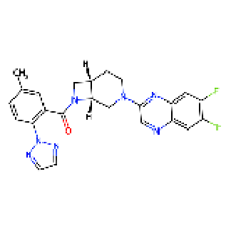 Cc1ccc(-n2nccn2)c(C(=O)N2C[C@@H]3CCN(c4cnc5cc(F)c(F)cc5n4)C[C@@H]32)c1